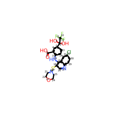 O=C(O)c1cc(C(O)(O)C(F)(F)F)ccc1Nc1c(SN2CCOCC2)cnc2ccc(Cl)cc12